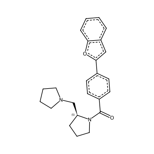 O=C(c1ccc(-c2cc3ccccc3o2)cc1)N1CCC[C@H]1CN1CCCC1